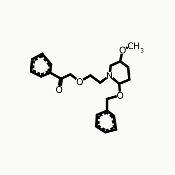 COC1CCC(OCc2ccccc2)N(CCOCC(=O)c2ccccc2)C1